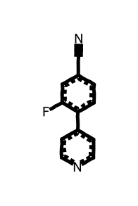 N#Cc1ccc(-c2ccncc2)c(F)c1